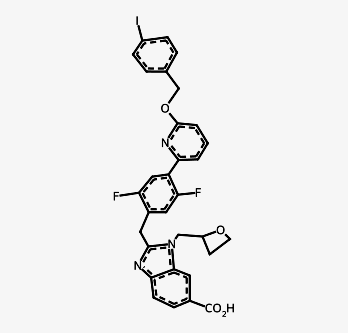 O=C(O)c1ccc2nc(Cc3cc(F)c(-c4cccc(OCc5ccc(I)cc5)n4)cc3F)n(CC3CCO3)c2c1